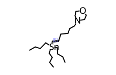 CCC[CH2][Sn](/[CH]=C/CCCCN1CCOCC1)([CH2]CCC)[CH2]CCC